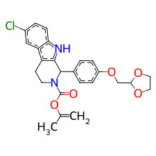 C=C(C)OC(=O)N1CCc2c([nH]c3ccc(Cl)cc23)C1c1ccc(OCC2OCCO2)cc1